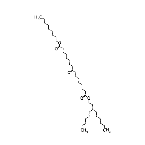 CCCCCCCCCOC(=O)CCCCCCCC(=O)CCCCCCCC(=O)OCCC(CCCCCC)CCCCCC